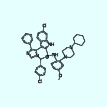 COc1ccc(NC(=O)c2[nH]c3cc(Cl)ccc3c2-c2c(-c3ccccc3)ncn2C(C)c2ccc(Cl)cc2)c(N2CCN(C3CCCCC3)CC2)c1